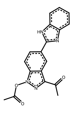 CC(=O)On1nc(C(C)=O)c2cc(-c3nc4ccccc4[nH]3)ccc21